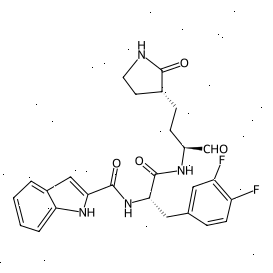 O=C[C@H](CC[C@@H]1CCNC1=O)NC(=O)[C@H](Cc1ccc(F)c(F)c1)NC(=O)c1cc2ccccc2[nH]1